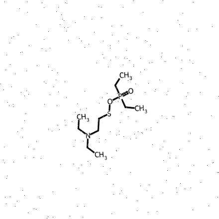 CCN(CC)CCSOP(=O)(CC)CC